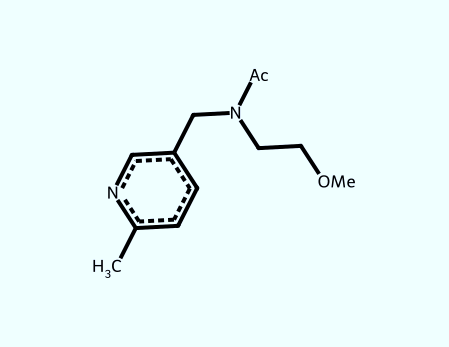 COCCN(Cc1ccc(C)nc1)C(C)=O